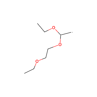 [CH2]C(OCC)OCCOCC